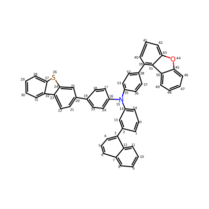 c1cc(-c2cccc3ccccc23)cc(N(c2ccc(-c3ccc4c(c3)sc3ccccc34)cc2)c2ccc(-c3cccc4oc5ccccc5c34)cc2)c1